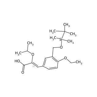 CCOc1ccc(/C=C(\OC(C)C)C(=O)O)cc1CO[Si](C)(C)C(C)(C)C